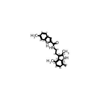 Cc1ccc2cc(C(=O)NCCc3c(C)[nH]c4c(F)ccc(C)c34)[nH]c2c1